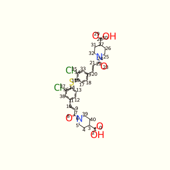 O=C(O)C1CCN(C(=O)/C=C/c2ccc(Sc3ccc(/C=C/C(=O)N4CCC(C(=O)O)CC4)cc3Cl)c(Cl)c2)CC1